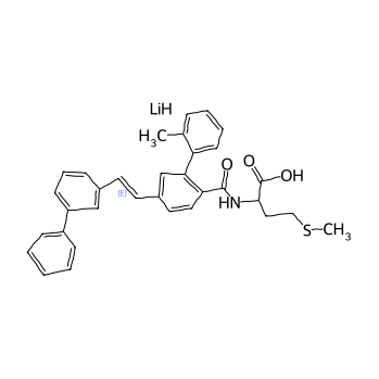 CSCCC(NC(=O)c1ccc(/C=C/c2cccc(-c3ccccc3)c2)cc1-c1ccccc1C)C(=O)O.[LiH]